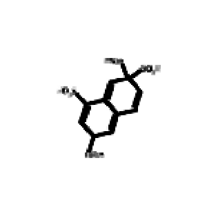 CCCCCCCCCC1C=C2C=CC(CCCCCCCCC)(S(=O)(=O)O)C=C2C(S(=O)(=O)O)=C1